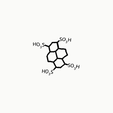 O=S(=O)(O)C1CC(S(=O)(=O)O)C2CCC3C4C(CCC1C24)C(S(=O)(=O)O)CC3S(=O)(=O)O